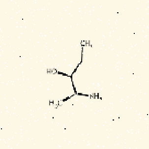 CC[C@H](O)[C@H](C)N